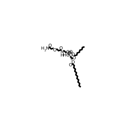 CCCCCCCCCCCCCC(=O)OC[C@H](COP(=O)(O)OCCNC(=O)CCOCCC(N)=O)OC(=O)CCCCCCC